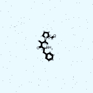 CC(C(=O)[C@@H](N)Cc1ccccc1)C(C)N1CCC[C@H]1C=O